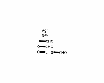 O=C[O-].O=C[O-].O=C[O-].O=C[O-].[Ag+].[N+3]